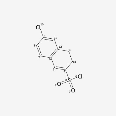 O=S(=O)(Cl)C1=Cc2ccc(Cl)cc2CC1